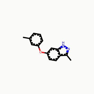 Cc1cccc(Oc2ccc3c(C)n[nH]c3c2)c1